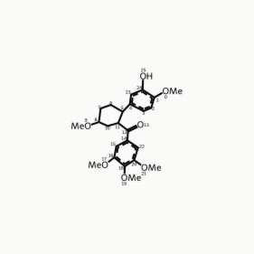 COc1ccc(C2CCC(OC)CC2C(=O)c2cc(OC)c(OC)c(OC)c2)cc1O